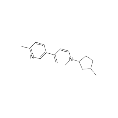 C=C(/C=C\N(C)C1CCC(C)C1)c1ccc(C)nc1